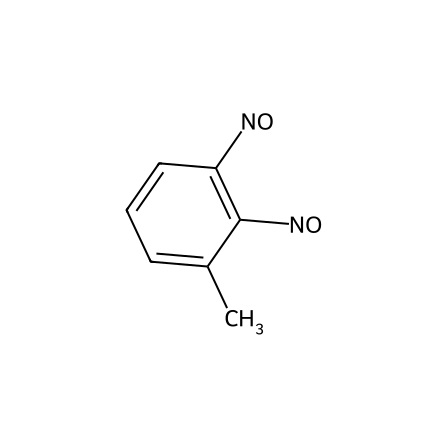 Cc1cccc(N=O)c1N=O